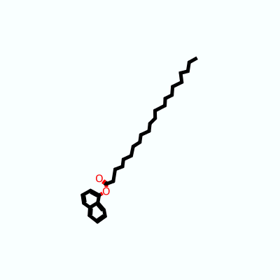 CCCCCCCCCCCCCCCCCCCCCC(=O)Oc1cccc2ccccc12